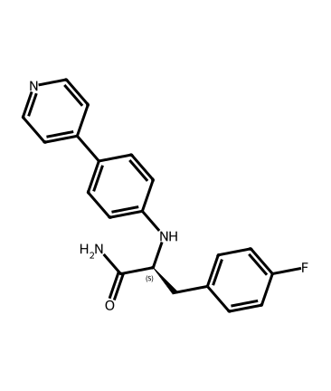 NC(=O)[C@H](Cc1ccc(F)cc1)Nc1ccc(-c2ccncc2)cc1